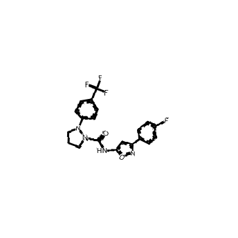 O=C(Nc1cc(-c2ccc(F)cc2)no1)N1CCCN1c1ccc(C(F)(F)F)cc1